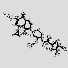 CCOC1CN(c2ccc3c(=O)c(C(=O)O)cn(C4CC4)c3c2OC)CCC1NC(=O)c1nc(Cl)c(CC)[nH]1